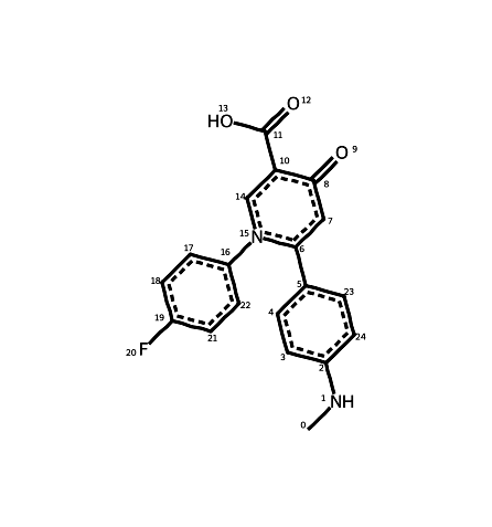 CNc1ccc(-c2cc(=O)c(C(=O)O)cn2-c2ccc(F)cc2)cc1